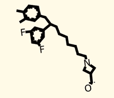 Cc1ccc(CC(CCCCCCCN2CC([C]=O)C2)c2cc(F)cc(F)c2)cc1C